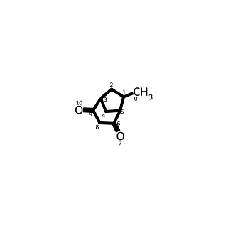 CC1CC2CC1C(=O)CC2=O